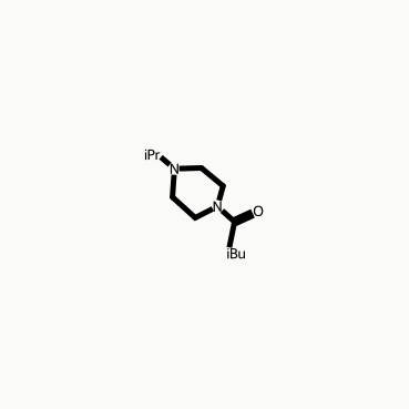 CCC(C)C(=O)N1CCN(C(C)C)CC1